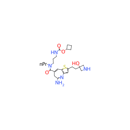 CCCN(CCCNC(=O)OC1CCC1)C(=O)C1=Cc2sc(CCC3(O)CNC3)cc2N=C(N)C1